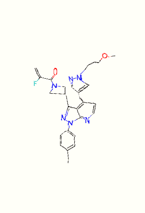 C=C(F)C(=O)N1CC(c2nn(-c3ccc(C)cc3)c3nccc(-c4cnn(CCOC)c4)c23)C1